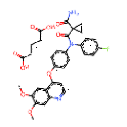 COc1cc2nccc(Oc3ccc(N(C(=O)C4(C(N)=O)CC4)c4ccc(F)cc4)cc3)c2cc1OC.O=C(O)CCCC(=O)O